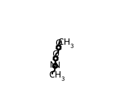 CCCc1cnc(-c2ccc(OCc3ccc(OC)cc3)cc2)nc1